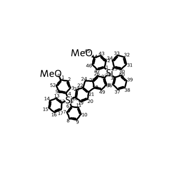 COc1ccc([Si](c2ccccc2)(c2ccccc2)c2ccc3c(c2)Cc2cc([Si](c4ccccc4)(c4ccccc4)c4ccc(OC)cc4)ccc2-3)cc1